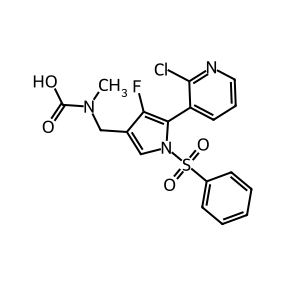 CN(Cc1cn(S(=O)(=O)c2ccccc2)c(-c2cccnc2Cl)c1F)C(=O)O